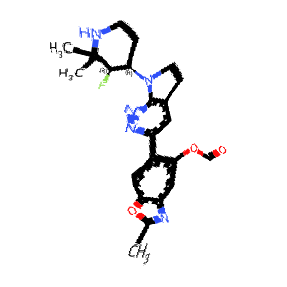 Cc1nc2cc(OC=O)c(-c3cc4c(nn3)N([C@@H]3CCNC(C)(C)[C@@H]3F)CC4)cc2o1